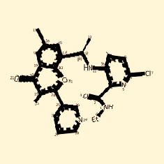 CCNC(=O)c1nc(Cl)ccc1N[C@H](C)c1cc(C)cc2c(=O)c(C)c(-c3cccnc3)oc12